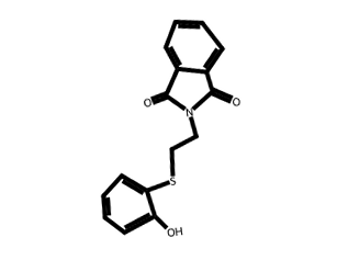 O=C1c2ccccc2C(=O)N1CCSc1ccccc1O